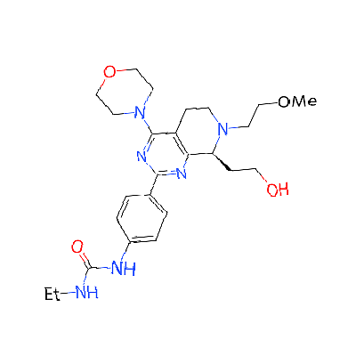 CCNC(=O)Nc1ccc(-c2nc3c(c(N4CCOCC4)n2)CCN(CCOC)[C@H]3CCO)cc1